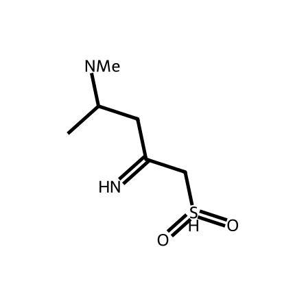 CNC(C)CC(=N)C[SH](=O)=O